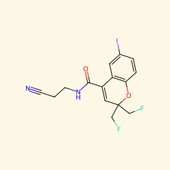 N#CCCNC(=O)C1=CC(CF)(CF)Oc2ccc(I)cc21